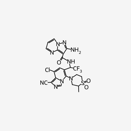 CC1CN(c2c(C(NC(=O)c3c(N)nn4cccnc34)C(F)(F)F)cc(Cl)c3c(C#N)ncn23)CCS1(=O)=O